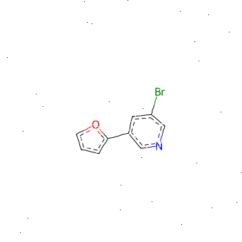 Brc1cncc(-c2ccco2)c1